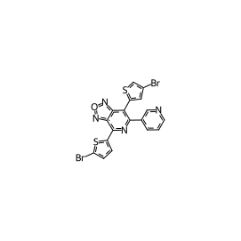 Brc1csc(-c2c(-c3cccnc3)nc(-c3ccc(Br)s3)c3nonc23)c1